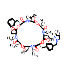 CC(C)C[C@H]1C(=O)O[C@H](Cc2ccc(Cn3ccc(C(F)(F)F)n3)cc2)C(=O)N(C)[C@@H](CC(C)C)C(=O)O[C@H](C)C(=O)N(C)[C@@H](CC(C)C)C(=O)O[C@H](Cc2ccccc2)C(=O)N(C)[C@@H](CC(C)C)C(=O)O[C@H](C)C(=O)N1C